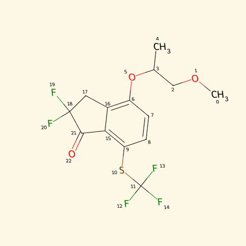 COCC(C)Oc1ccc(SC(F)(F)F)c2c1CC(F)(F)C2=O